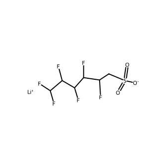 O=S(=O)([O-])CC(F)C(F)C(F)C(F)C(F)F.[Li+]